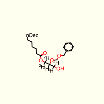 [2H]C([2H])(O)C([2H])(OCOCc1ccccc1)C([2H])([2H])OC(=O)CCCCCCCCCCCCCCC